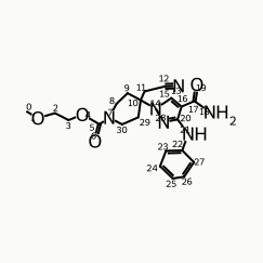 COCCOC(=O)N1CCC(CC#N)(n2cc(C(N)=O)c(Nc3ccccc3)n2)CC1